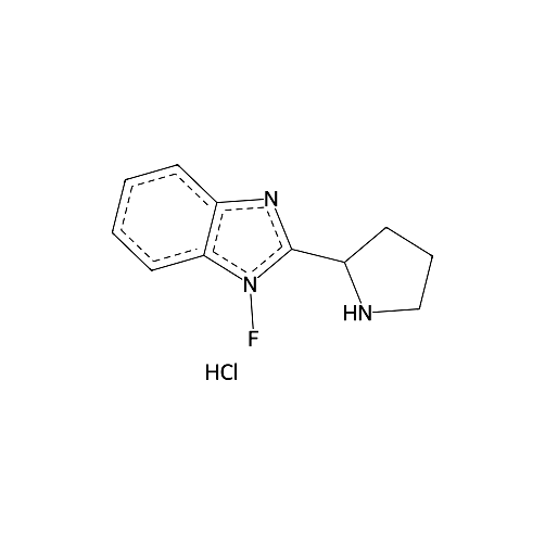 Cl.Fn1c(C2CCCN2)nc2ccccc21